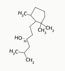 CC(C)C[C@H](O)CCC1C(C)CCCC1(C)C